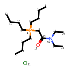 CCCC[P+](CCCC)(CCCC)CC(=O)N(CC)CC.[Cl-]